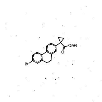 COC(=O)C1(c2ccc3c(c2)CCc2cc(Br)ccc2-3)CC1